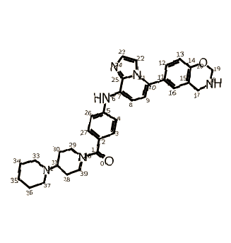 O=C(c1ccc(Nc2ccc(-c3ccc4c(c3)CNCO4)n3ccnc23)cc1)N1CCC(N2CCCCC2)CC1